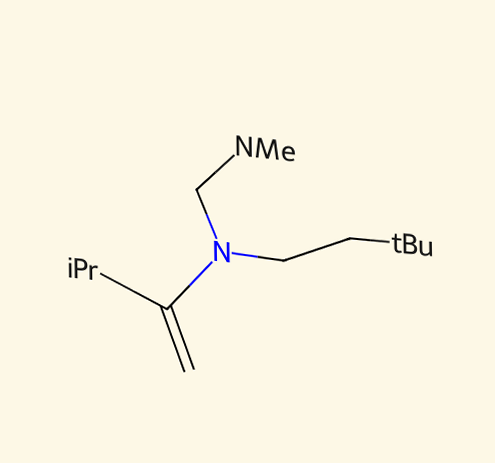 C=C(C(C)C)N(CCC(C)(C)C)CNC